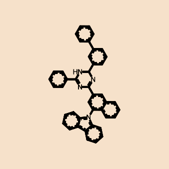 c1ccc(C2=NC(c3cc(-n4c5ccccc5c5ccccc54)c4ccccc4c3)=NC(c3cccc(-c4ccccc4)c3)N2)cc1